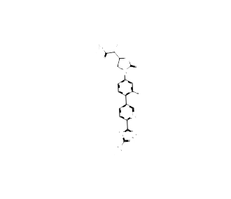 C[C@H](C(N)=O)C1CN(c2ccc(-c3ccc(-c4noc(N)n4)nc3)c(F)c2)C(=O)O1